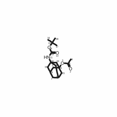 CC(=O)OC12CC3CC(CC(NC(=O)OC(C)(C)C)(C3)C1)C2